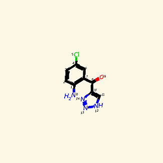 Nc1ccc(Cl)cc1C(=O)c1c[nH]nn1